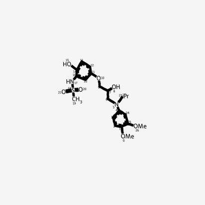 COc1ccc(N(CC(O)COc2ccc(O)c(NS(C)(=O)=O)c2)C(C)C)cc1OC